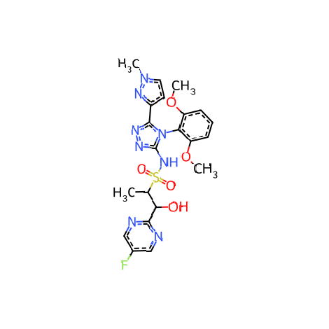 COc1cccc(OC)c1-n1c(NS(=O)(=O)C(C)C(O)c2ncc(F)cn2)nnc1-c1ccn(C)n1